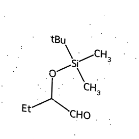 CCC(C=O)O[Si](C)(C)C(C)(C)C